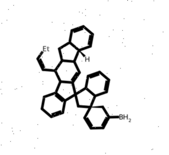 BC1=CC=C[C@]2(C1)CC1(C3=CC4C(CC5C=CC=C[C@@H]54)C(/C=C\CC)C3C3=C1C=CCC3)C1C=CC=CC12